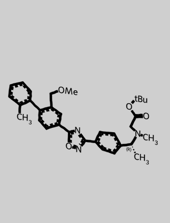 COCc1cc(-c2nc(-c3ccc([C@@H](C)N(C)CC(=O)OC(C)(C)C)cc3)no2)ccc1-c1ccccc1C